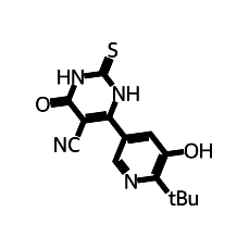 CC(C)(C)c1ncc(-c2[nH]c(=S)[nH]c(=O)c2C#N)cc1O